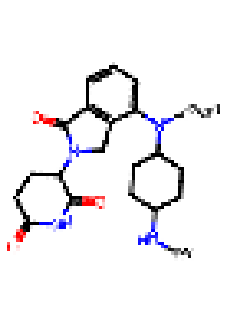 CCCCCN(c1cccc2c1CN(C1CCC(=O)NC1=O)C2=O)C1CCC(NC(C)C)CC1